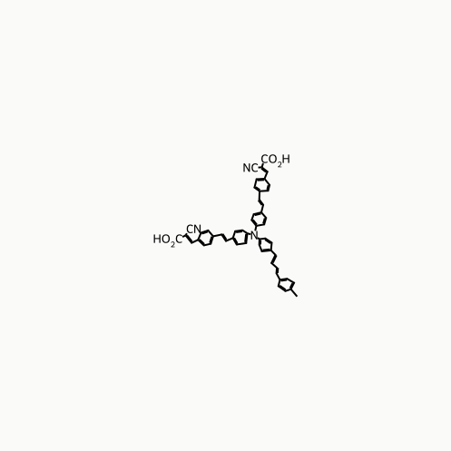 Cc1ccc(/C=C/C=C/c2ccc(N(c3ccc(/C=C/c4ccc(/C=C(\C#N)C(=O)O)cc4)cc3)c3ccc(/C=C/c4ccc(/C=C(\C#N)C(=O)O)cc4)cc3)cc2)cc1